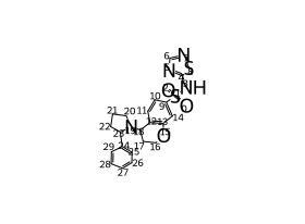 O=S(=O)(Nc1ncns1)c1ccc2c(c1)OCCC2N1CCCC1c1ccccc1